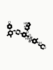 CC1=C(C)C[C@H](c2ccc(Cl)cc2)[C@@H](CN2CCN(c3ccc(C(=O)NS(=O)(=O)c4ccc(NCC5CCOCC5)c(C)c4)c(Oc4cnc5[nH]ccc5c4)c3)CC2)C1